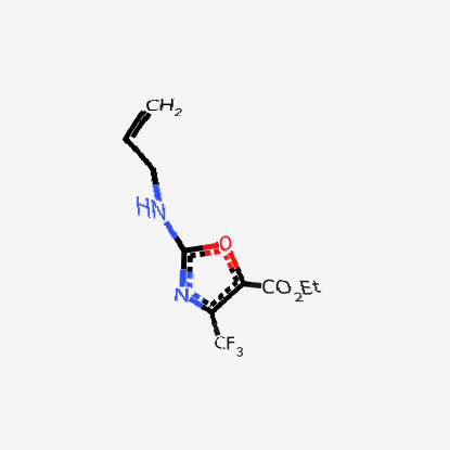 C=CCNc1nc(C(F)(F)F)c(C(=O)OCC)o1